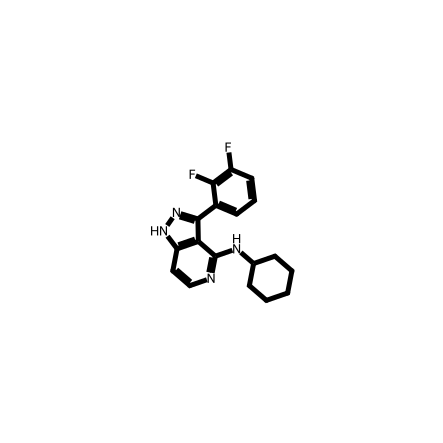 Fc1cccc(-c2n[nH]c3ccnc(NC4CCCCC4)c23)c1F